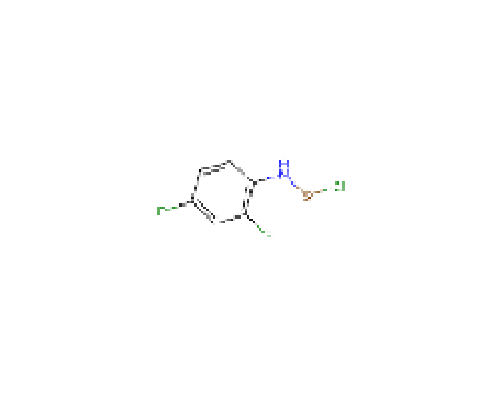 Fc1ccc(NSCl)c(F)c1